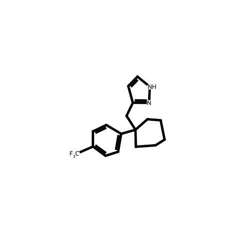 FC(F)(F)c1ccc(C2(Cc3cc[nH]n3)CCCCC2)cc1